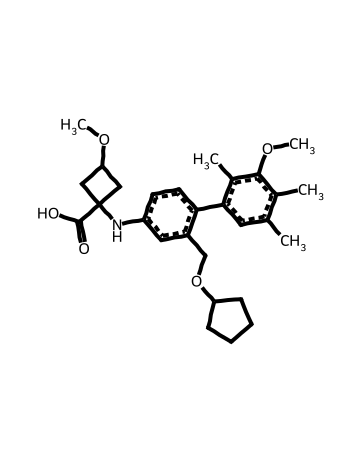 COc1c(C)c(C)cc(-c2ccc(NC3(C(=O)O)CC(OC)C3)cc2COC2CCCC2)c1C